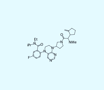 C=C1CCCC1C(NC)C(=O)N1CCC(N2CCN(c3ccc(F)cc3C(=O)N(CC)C(C)C)c3cncnc32)C1